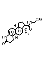 CC(C)(C)CNC(=O)C1CC[C@H]2[C@@H]3CC=C4NC(=O)CC[C@]4(C)[C@@H]3CC[C@]12C